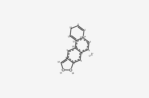 C1=C[n+]2ccc3cc4c(cc3c2=CC1)=COO4.[I-]